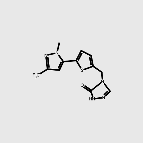 Cn1nc(C(F)(F)F)cc1-c1ccc(Cn2cn[nH]c2=O)s1